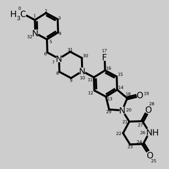 Cc1cccc(CN2CCN(c3cc4c(cc3F)C(=O)N(C3CCC(=O)NC3=O)C4)CC2)n1